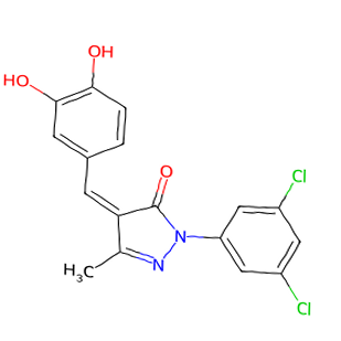 CC1=NN(c2cc(Cl)cc(Cl)c2)C(=O)C1=Cc1ccc(O)c(O)c1